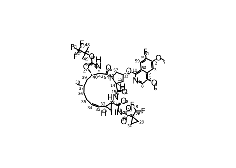 COc1cc2c(OC)cnc(O[C@@H]3C[C@H]4C(=O)N[C@]5(C(=O)NS(=O)(=O)C6(C(F)F)CC6)C[C@H]5/C=C\CC[C@@H](C)C[C@@H](C)[C@H](NC(=O)OC(C)(C)C(F)(F)F)C(=O)N4C3)c2cc1F